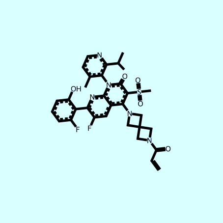 C=CC(=O)N1CC2(C1)CN(c1c(S(C)(=O)=O)c(=O)n(-c3c(C)ccnc3C(C)C)c3nc(-c4c(O)cccc4F)c(F)cc13)C2